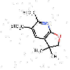 CCOC(=O)c1cc2c(nc1C(=O)OCC)OCC2(C)C